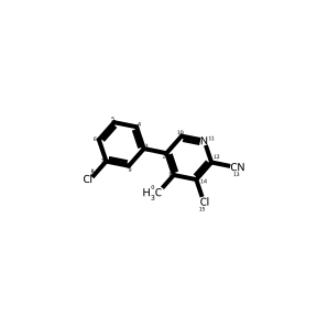 Cc1c(-c2cccc(Cl)c2)cnc(C#N)c1Cl